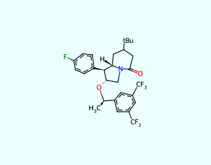 C[C@@H](O[C@H]1CN2C(=O)CC(C(C)(C)C)C[C@H]2[C@@H]1c1ccc(F)cc1)c1cc(C(F)(F)F)cc(C(F)(F)F)c1